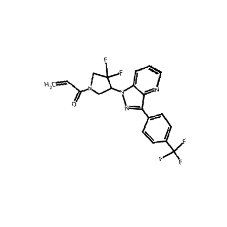 C=CC(=O)N1CC(n2nc(-c3ccc(C(F)(F)F)cc3)c3ncccc32)C(F)(F)C1